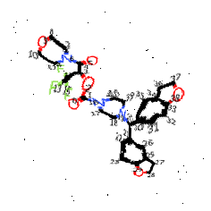 O=C(OC(C(=O)N1CCOCC1)C(F)(F)F)N1CCN(C(c2ccc3c(c2)CCO3)c2ccc3c(c2)CCO3)CC1